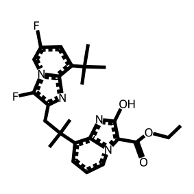 CCOC(=O)c1c(O)nc2c(C(C)(C)Cc3nc4c(C(C)(C)C)cc(F)cn4c3F)cccn12